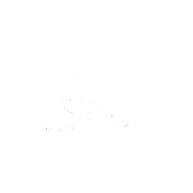 CNC(=O)c1nnc(CC2CCCOC2)c2cc(-c3ccc(Cl)cc3)sc12